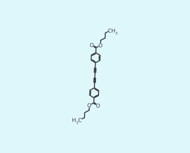 CCCCOC(=O)c1ccc(C#CC#Cc2ccc(C(=O)OCCCC)cc2)cc1